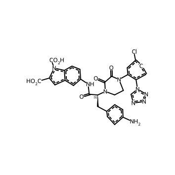 Nc1ccc(C[C@@H](C(=O)Nc2ccc3c(c2)cc(C(=O)O)n3C(=O)O)N2CCN(c3cc(Cl)ccc3-n3cnnn3)C(=O)C2=O)cc1